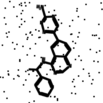 CC(Nc1ncnc2ccc(-c3cnc(N)nn3)cc12)c1ccccc1